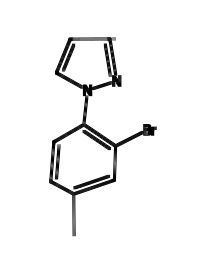 Cc1ccc(-n2cc[c]n2)c(Br)c1